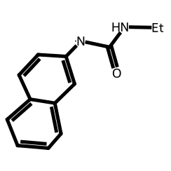 CCNC(=O)[N]c1ccc2ccccc2c1